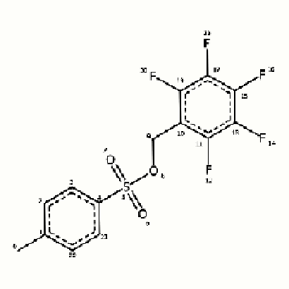 Cc1ccc(S(=O)(=O)OCc2c(F)c(F)c(F)c(F)c2F)cc1